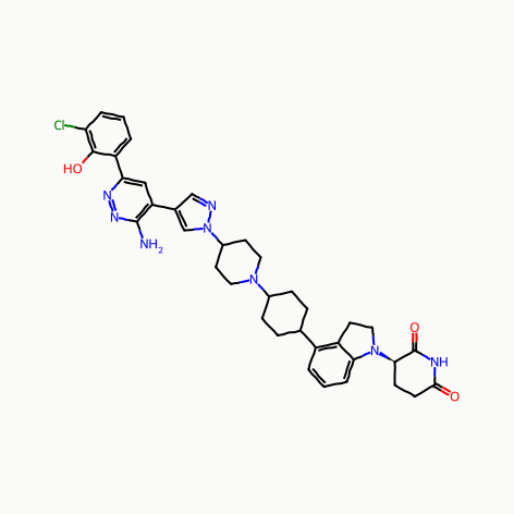 Nc1nnc(-c2cccc(Cl)c2O)cc1-c1cnn(C2CCN(C3CCC(c4cccc5c4CCN5[C@@H]4CCC(=O)NC4=O)CC3)CC2)c1